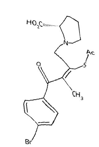 CC(=O)S/C(CN1CCC[C@H]1C(=O)O)=C(\C)C(=O)c1ccc(Br)cc1